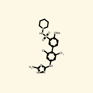 COc1ccc(-c2c(Cl)cc(Nc3n[nH]c(N)n3)cc2C(F)(F)F)cc1S(=O)(=O)NN1CCCCC1